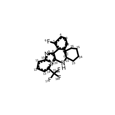 Fc1cccc(F)c1-c1nc2cccc(C(F)(F)F)n2c1NC1CCCCC1